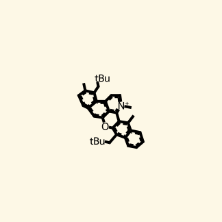 Cc1ccc2cc3c4c([n+](C)ccc4c2c1CC(C)(C)C)-c1c(c(CC(C)(C)C)c2ccccc2c1C)O3